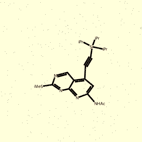 CSc1ncc2c(C#C[Si](C(C)C)(C(C)C)C(C)C)cc(NC(C)=O)nc2n1